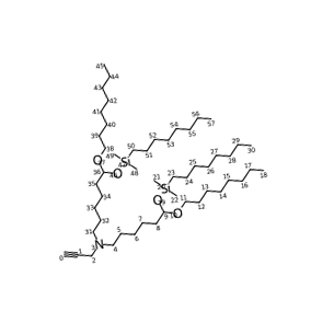 C#CCN(CCCCCC(OCCCCCCCC)O[Si](C)(C)CCCCCCCC)CCCCCC(OCCCCCCCC)O[Si](C)(C)CCCCCCCC